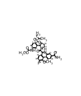 COC(=O)Nc1ccc(S(=O)(=O)C(C)C)c([C@H]2CCCN2C(=O)[C@@H](Nc2cccc(C(N)=O)c2)c2ccc(F)c(OC)c2)c1